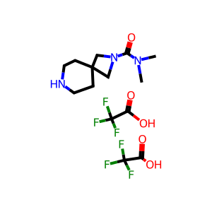 CN(C)C(=O)N1CC2(CCNCC2)C1.O=C(O)C(F)(F)F.O=C(O)C(F)(F)F